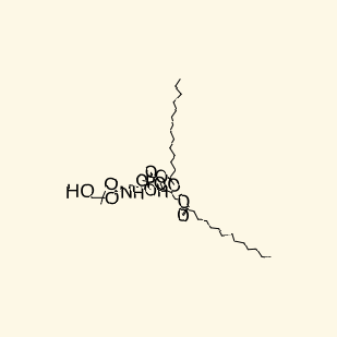 CCCCCCCCCCCCCC(=O)OCC(COP(=O)(O)OCCNC(=O)OC(C)(C)CO)OC(=O)CCCCCCCCCCCCC